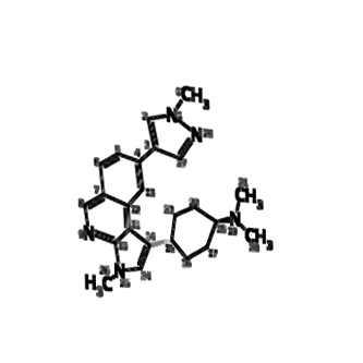 Cn1cc(-c2ccc3cnc4c(c3c2)c([C@H]2CC[C@H](N(C)C)CC2)cn4C)cn1